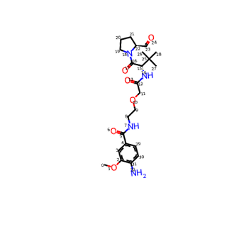 COc1cc(C(=O)NCCOCC(=O)N[C@H](C(=O)N2CCC[C@H]2C=O)C(C)(C)C)ccc1N